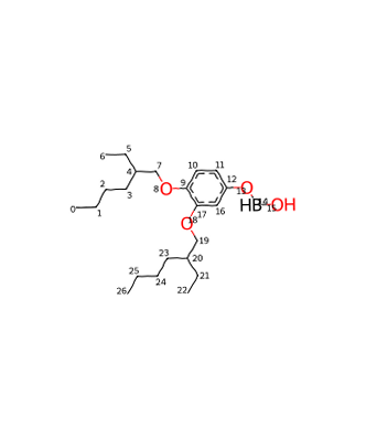 CCCCC(CC)COc1ccc(OBO)cc1OCC(CC)CCCC